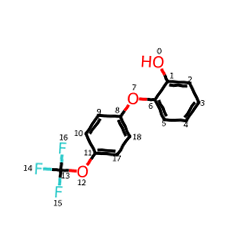 Oc1ccccc1Oc1ccc(OC(F)(F)F)cc1